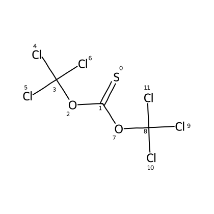 S=C(OC(Cl)(Cl)Cl)OC(Cl)(Cl)Cl